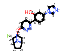 Oc1cc(-n2ccnc2)ccc1-c1ccc(O[C@@H]2CC3CCC(N3)[C@@H]2F)nn1